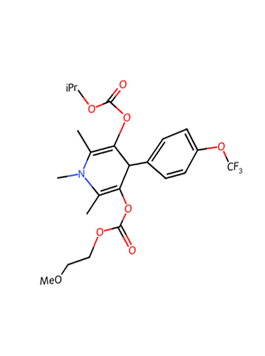 COCCOC(=O)OC1=C(C)N(C)C(C)=C(OC(=O)OC(C)C)C1c1ccc(OC(F)(F)F)cc1